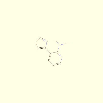 CN(C)c1nc[c]cc1-c1cscn1